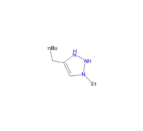 CCCCCC1=CN(CC)NN1